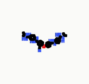 CC(C)NC(=N)c1ccc2nc(-c3ccc(Oc4ccc(-c5nc6ccc(C(=N)NC(C)C)cc6[nH]5)cc4C#N)cc3)[nH]c2c1